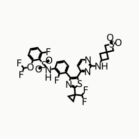 O=S1(=O)CC2(CC(Nc3nccc(-c4sc(C5(C(F)F)CC5)nc4-c4cccc(NS(=O)(=O)c5c(F)cccc5OC(F)F)c4F)n3)C2)C1